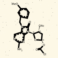 CCC(=O)O[C@H]1C[C@@H](OC(C)=O)[C@H](n2c(=O)n(Cc3cccc(OC)c3)c3cnc(N)nc32)O1